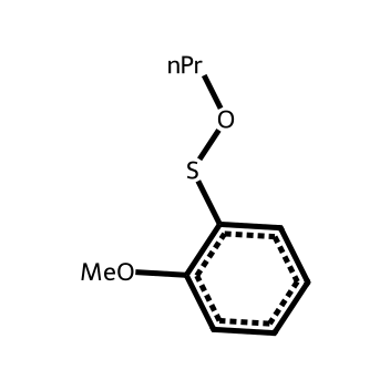 CCCOSc1ccccc1OC